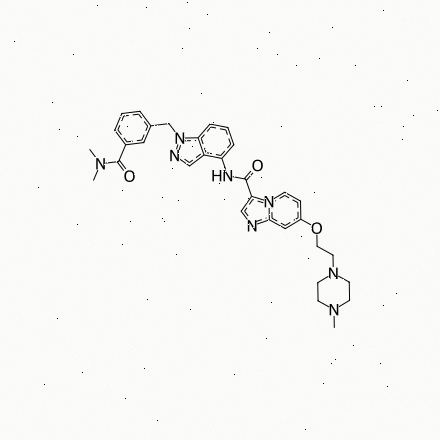 CN1CCN(CCOc2ccn3c(C(=O)Nc4cccc5c4cnn5Cc4cccc(C(=O)N(C)C)c4)cnc3c2)CC1